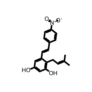 CC(C)=CCc1c(O)cc(O)cc1/C=C/c1ccc([N+](=O)[O-])cc1